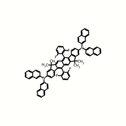 CC1(C)c2cc(N(c3ccc4ccccc4c3)c3ccc4ccccc4c3)ccc2-c2c1cc1c(-c3c(F)cccc3F)c3c(cc1c2-c1c(F)cccc1F)C(C)(C)c1cc(N(c2ccc4ccccc4c2)c2ccc4ccccc4c2)ccc1-3